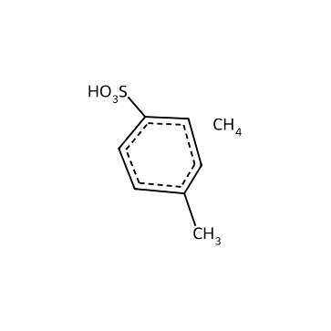 C.Cc1ccc(S(=O)(=O)O)cc1